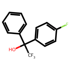 OC(c1ccccc1)(c1ccc(F)cc1)C(F)(F)F